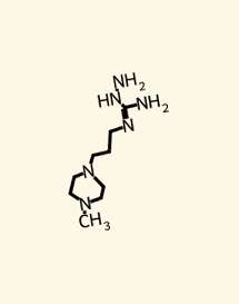 CN1CCN(CCCN=C(N)NN)CC1